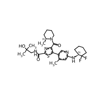 Cc1cc(N[C@H]2CCCCC2(F)F)ncc1-c1sc(C(=O)NCC(C)(C)O)nc1C(=O)N1CCCC[C@@H]1C